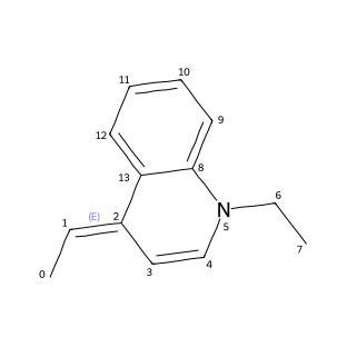 C/C=C1\C=CN(CC)c2ccccc21